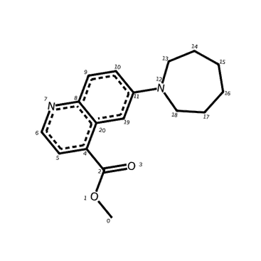 COC(=O)c1ccnc2ccc(N3CCCCCC3)cc12